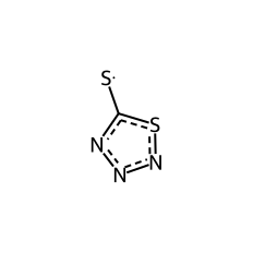 [S]c1nnns1